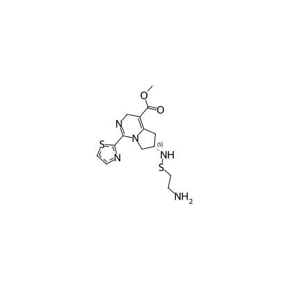 COC(=O)C1=C2C[C@H](NSCCN)CN2C(c2nccs2)=NC1